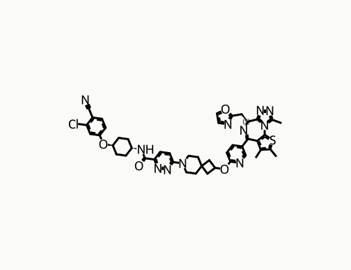 Cc1sc2c(c1C)C(c1ccc(OC3CC4(CCN(c5ccc(C(=O)N[C@H]6CC[C@H](Oc7ccc(C#N)c(Cl)c7)CC6)nn5)CC4)C3)nc1)=N[C@@H](Cc1ncco1)c1nnc(C)n1-2